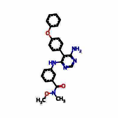 CON(C)C(=O)c1cccc(Nc2ncnc(N)c2-c2ccc(Oc3ccccc3)cc2)c1